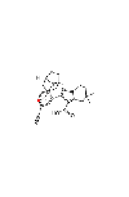 CO[C@H]1C[C@H]2CC[C@@H](C1)N2c1ccc(C#N)cc1-c1sc2c(c1C(=O)O)CC(C)(C)CC2